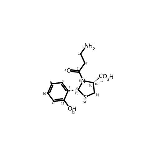 NCCC(=O)N1[C@@H](c2ccccc2O)SC[C@H]1C(=O)O